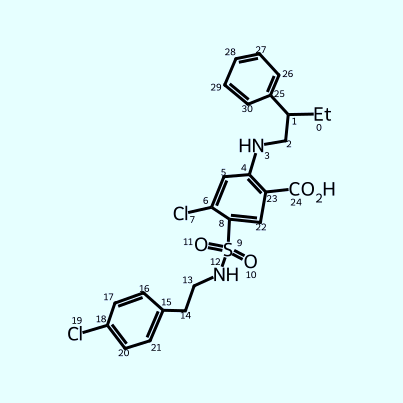 CCC(CNc1cc(Cl)c(S(=O)(=O)NCCc2ccc(Cl)cc2)cc1C(=O)O)c1ccccc1